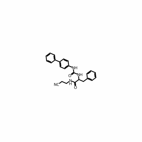 N#CCCNC(=O)C(Cc1ccccc1)NC(=O)Nc1ccc(-c2ccccc2)cc1